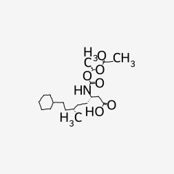 CCC(=O)O[C@H](C)OC(=O)N[C@@H](CC[C@H](C)CCC1CCCCC1)CC(=O)O